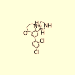 O=C1CCCN2c3c1cc(-c1ccc(Cl)cc1Cl)cc3[C@@H]1CNCC[C@@H]12